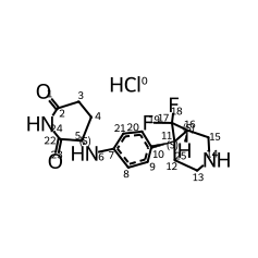 Cl.O=C1CC[C@H](Nc2ccc([C@]34CCNC[C@H]3C4(F)F)cc2)C(=O)N1